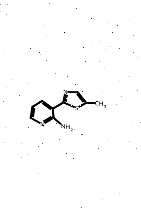 Cc1cnc(-c2cccnc2N)s1